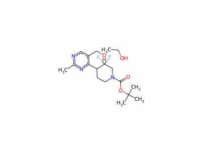 CCO.Cc1ncc(CO)c(C2CCN(C(=O)OC(C)(C)C)CC2(F)F)n1